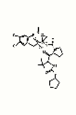 C=C[C@@H]1C[C@]1(NC(=O)[C@@H]1CCCN1C(=O)C(NC(=O)OC1CCCC1)C(C)(C)C)P(=O)(O)Cc1cc(Cl)c(F)cc1F